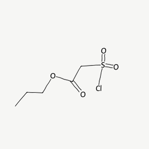 CCCOC(=O)CS(=O)(=O)Cl